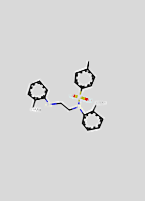 COc1ccccc1NCCN(c1ccccc1OC)S(=O)(=O)c1ccc(C)cc1